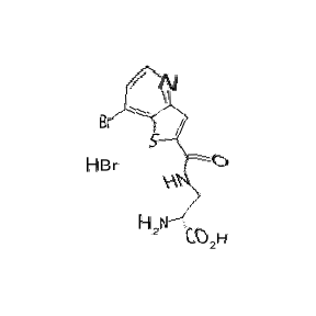 Br.N[C@H](CNC(=O)c1cc2nccc(Br)c2s1)C(=O)O